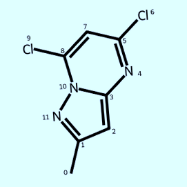 Cc1cc2nc(Cl)cc(Cl)n2n1